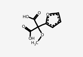 COC(C(=O)O)(C(=O)O)c1ccco1